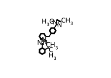 Cc1cn(C)c(-c2ccc(Cc3cccc4nc(-c5ccccc5C(C)C)nn34)cc2)n1